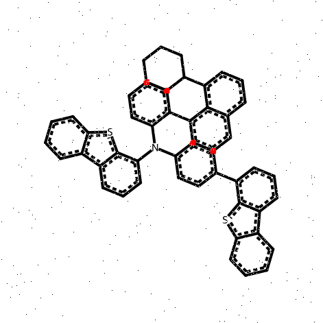 c1ccc(N(c2ccc(-c3cccc4c3sc3ccccc34)cc2)c2cccc3c2sc2ccccc23)c(-c2cccc3cccc(C4CCCCC4)c23)c1